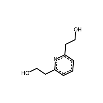 OCCc1cccc(CCO)n1